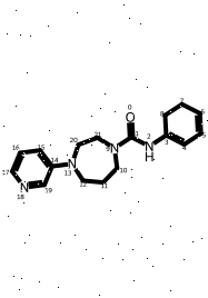 O=C(NC1=CC=CCC1)N1CCCN(c2cccnc2)CC1